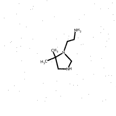 CC1(C)CNCN1CCN